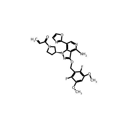 C=CC(=O)N1CC[C@H](n2nc(OCc3c(F)c(OC)cc(OC)c3F)c3c(N)ncc(-c4ncco4)c32)C1